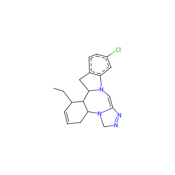 CCC1C=CCC2C1C1Cc3ccc(Cl)cc3N1C=C1N=NCN12